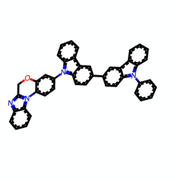 c1ccc(-n2c3ccccc3c3cc(-c4ccc5c(c4)c4ccccc4n5-c4ccc5c(c4)OCc4nc6ccccc6n4-5)ccc32)cc1